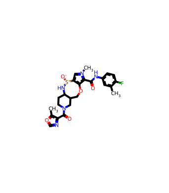 Cc1cc(NC(=O)c2c3c(cn2C)[S+]([O-])NC2CCN(C(=O)c4ncoc4C)CC2CO3)ccc1F